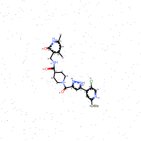 COc1cc(-c2cc(C(=O)N3CCC(C(=O)NCc4c(C)cc(C)[nH]c4=O)CC3)n[nH]2)c(Cl)cn1